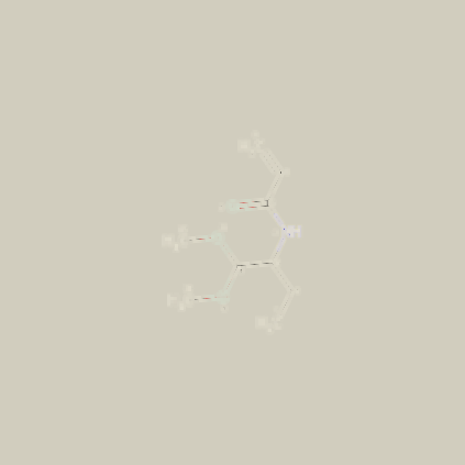 C=CC(=O)NC(CC)C(OC)OC